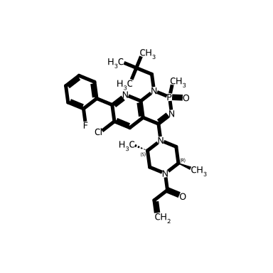 C=CC(=O)N1C[C@H](C)N(C2=NP(C)(=O)N(CC(C)(C)C)c3nc(-c4ccccc4F)c(Cl)cc32)C[C@H]1C